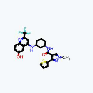 Cn1cc(C(=O)N[C@@H]2CCC[C@H](Nc3cc(C(F)(F)F)nc4ccc(O)cc34)C2)c(-c2cccs2)n1